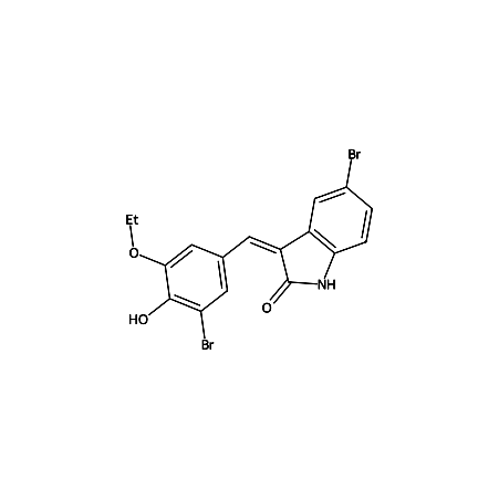 CCOc1cc(/C=C2\C(=O)Nc3ccc(Br)cc32)cc(Br)c1O